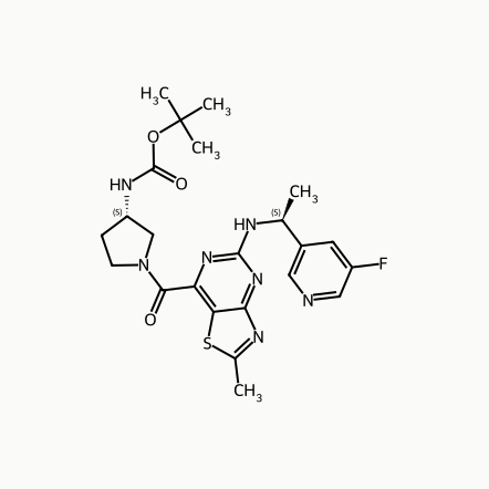 Cc1nc2nc(N[C@@H](C)c3cncc(F)c3)nc(C(=O)N3CC[C@H](NC(=O)OC(C)(C)C)C3)c2s1